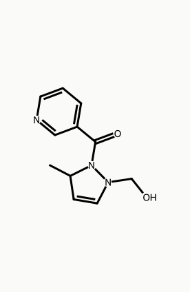 CC1C=CN(CO)N1C(=O)c1cccnc1